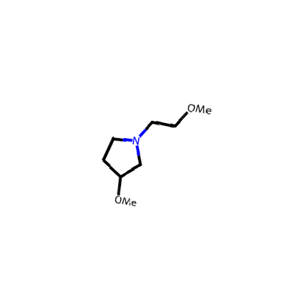 COCCN1CCC(OC)C1